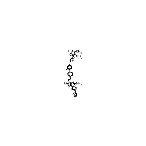 CC(C)[C@H](N)C(=O)NCCOc1ccc(N2CCN(CCn3c(=O)sc4c3nc(N)n3nc(-c5ccco5)cc43)CC2)c(F)c1